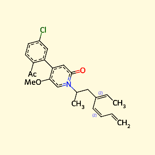 C=C/C=C\C(=C/C)CC(C)n1cc(OC)c(-c2cc(Cl)ccc2C(C)=O)cc1=O